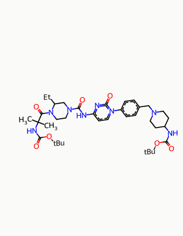 CCC1CN(C(=O)Nc2ccn(-c3ccc(CN4CCC(NC(=O)OC(C)(C)C)CC4)cc3)c(=O)n2)CCN1C(=O)C(C)(C)NC(=O)OC(C)(C)C